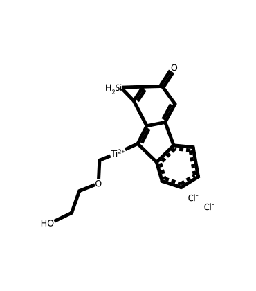 O=C1C=C2C(=[C]([Ti+2][CH2]OCCO)c3ccccc32)C2=C1[SiH2]2.[Cl-].[Cl-]